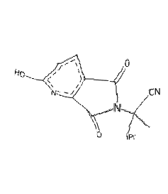 CC(C)C(C)(C#N)N1C(=O)c2ccc(O)nc2C1=O